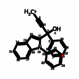 CC#CC(O)(c1ccccc1)c1cc2ccccc2n1-c1ccccc1